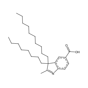 CCCCCCCCCCC1(CCCCCCCC)C(C)=Nc2ccc(C(=O)O)cc21